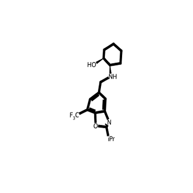 CC(C)c1nc2cc(CN[C@@H]3CCCC[C@@H]3O)cc(C(F)(F)F)c2o1